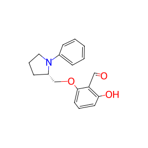 O=Cc1c(O)cccc1OC[C@@H]1CCCN1c1ccccc1